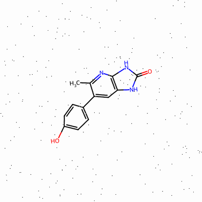 Cc1nc2[nH]c(=O)[nH]c2cc1-c1ccc(O)cc1